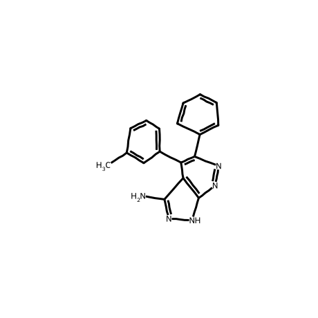 Cc1cccc(-c2c(-c3ccccc3)nnc3[nH]nc(N)c23)c1